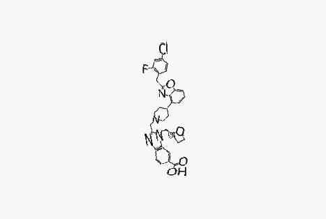 O=C(O)c1ccc2nc(CN3CCC(c4cccc5oc(Cc6ccc(Cl)cc6F)nc45)CC3)n(C[C@@H]3CCO3)c2c1